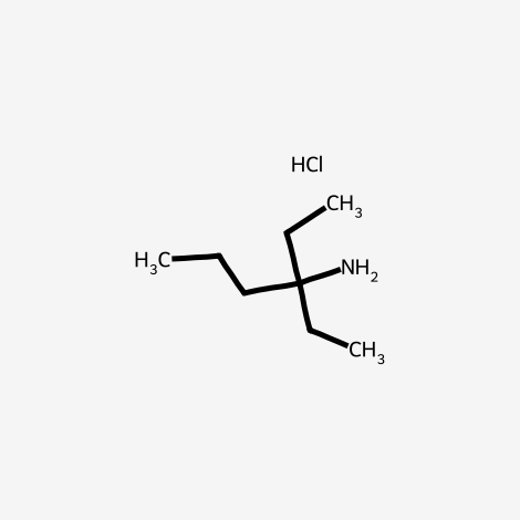 CCCC(N)(CC)CC.Cl